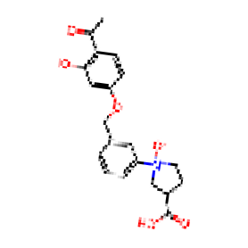 CC(=O)c1ccc(OCc2cccc([N+]3([O-])CCC(C(=O)O)C3)c2)cc1O